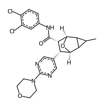 CC1C2C1[C@@H]1O[C@H]2[C@@H](C(=O)Nc2ccc(Cl)c(Cl)c2)[C@H]1c1cnc(N2CCOCC2)nc1